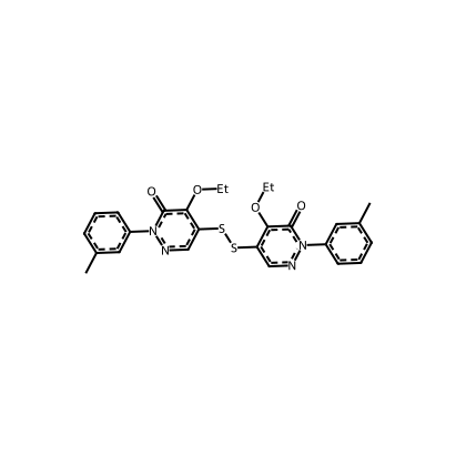 CCOc1c(SSc2cnn(-c3cccc(C)c3)c(=O)c2OCC)cnn(-c2cccc(C)c2)c1=O